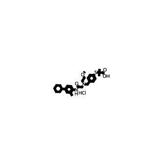 COCCN(CC(=O)Nc1ccc(C2CCCCC2)cc1C)Cc1ccc(SC(C)(C)C(=O)O)cc1.Cl